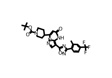 Cc1cc(C(F)(F)F)ccc1-c1noc(-c2cnn3c(C4CCN(C(=O)OC(C)(C)C)CC4)cc(=O)[nH]c23)n1